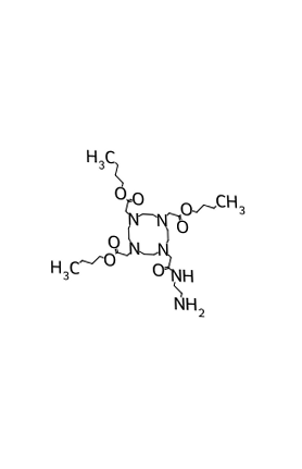 CCCCOC(=O)CN1CCN(CC(=O)NCCN)CCN(CC(=O)OCCCC)CCN(CC(=O)OCCCC)CC1